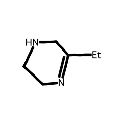 CCC1=NCCNC1